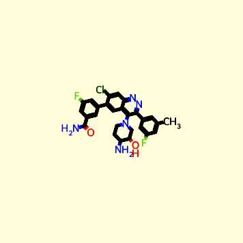 Cc1cc(F)cc(-c2nnc3cc(Cl)c(-c4cc(F)cc(C(N)=O)c4)cc3c2N2CCC(N)C(O)C2)c1